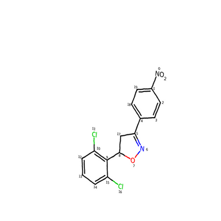 O=[N+]([O-])c1ccc(C2=NOC(c3c(Cl)cccc3Cl)C2)cc1